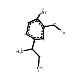 CCC(C)c1ccc(O)c(CI)c1